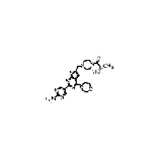 C[C@H](O)C(=O)N1CCN(Cc2cc3c(N4CCOCC4)nc(-c4cnc(N)nc4)nc3s2)CC1